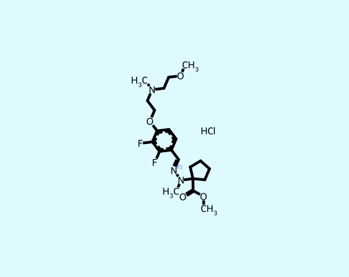 COCCN(C)CCOc1ccc(/C=N/N(C)C2(C(=O)OC)CCCC2)c(F)c1F.Cl